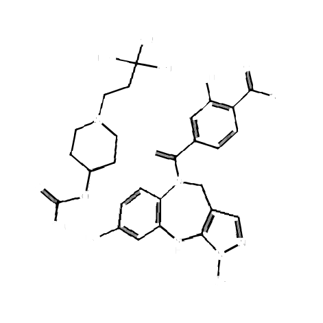 CC(C)(C)CCN1CCC(OC(=O)O)CC1.Cc1ccc2c(c1)Nc1c(cnn1C)CN2C(=O)c1ccc(C(N)=O)c(C)c1